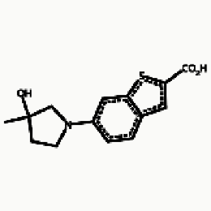 CC1(O)CCN(c2ccc3cc(C(=O)O)sc3c2)C1